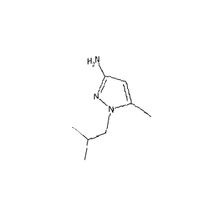 Cc1cc(N)nn1CC(C)C